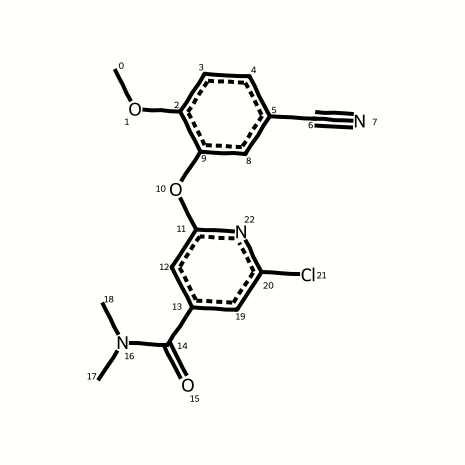 COc1ccc(C#N)cc1Oc1cc(C(=O)N(C)C)cc(Cl)n1